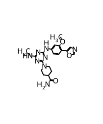 CNc1nc(Nc2ccc(-c3cnco3)c(OC)c2)nc(N2CCC(C(N)=O)CC2)n1